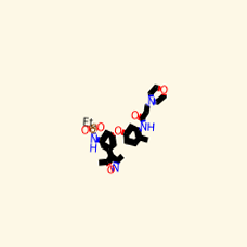 CCS(=O)(=O)Nc1cc(Oc2ccc(C)c(NC(=O)CCN3CCOCC3)c2)cc(-c2c(C)noc2C)c1